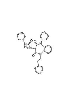 O=C(Nc1ccccc1)NC1C(=O)N(CCc2ccccc2)c2ccccc2N(c2ccccc2)C1=O